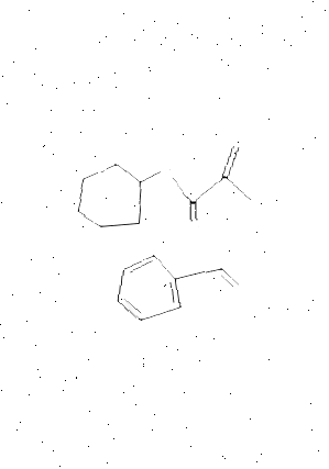 C=C(C)C(=O)OC1CCCCC1.C=Cc1ccccc1